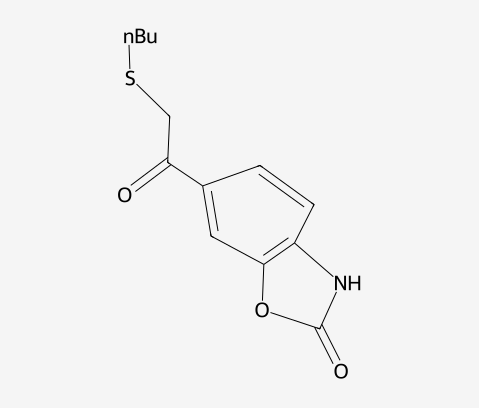 CCCCSCC(=O)c1ccc2[nH]c(=O)oc2c1